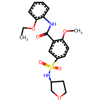 CCOc1ccccc1NC(=O)c1cc(S(=O)(=O)N[C@H]2CCOC2)ccc1OC